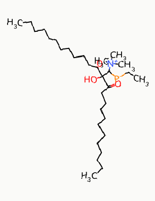 CCCCCCCCCCCC(=O)C(O)(C(=O)CCCCCCCCCCC)C([P-]CC)[N+](C)(C)C